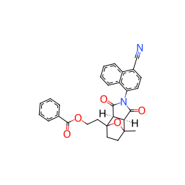 CC12CCC(CCOC(=O)c3ccccc3)(O1)[C@H]1C(=O)N(c3ccc(C#N)c4ccccc34)C(=O)[C@H]12